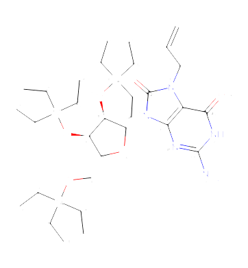 C=CCn1c(=O)n([C@@H]2O[C@H](CO[Si](CC)(CC)CC)[C@@H](O[Si](CC)(CC)CC)[C@H]2O[Si](CC)(CC)CC)c2nc(N)[nH]c(=O)c21